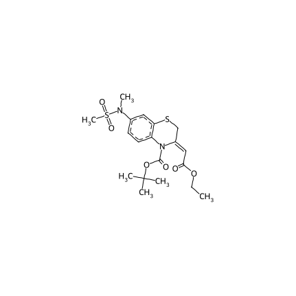 CCOC(=O)/C=C1/CSc2cc(N(C)S(C)(=O)=O)ccc2N1C(=O)OC(C)(C)C